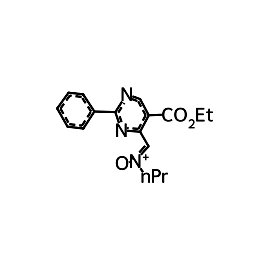 CCC[N+]([O-])=Cc1nc(-c2ccccc2)ncc1C(=O)OCC